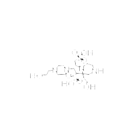 O=S(=O)(O)CCN1CCNCC1(CCO)C(CN1CCN(CCO)CC1)S(=O)(=O)O